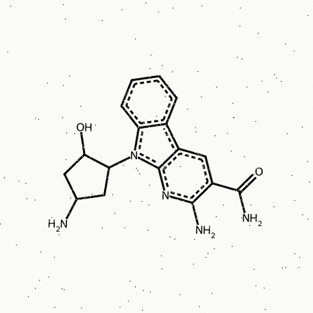 NC(=O)c1cc2c3ccccc3n(C3CC(N)CC3O)c2nc1N